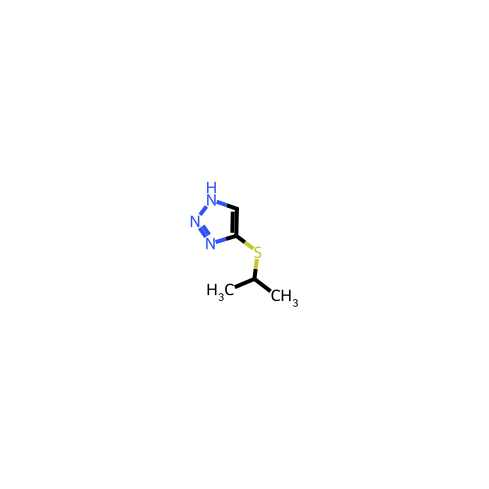 CC(C)Sc1c[nH]nn1